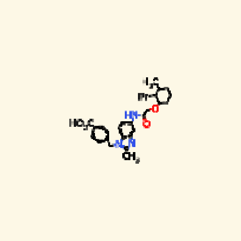 Cc1nc2cc(NC(=O)COC3CCCC(C)C3C(C)C)ccc2n1Cc1ccc(C(=O)O)cc1